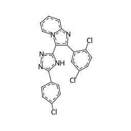 Clc1ccc(-c2nnc(-c3c(-c4cc(Cl)ccc4Cl)nc4ccccn34)[nH]2)cc1